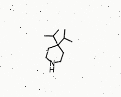 CC(C)C1(C(C)C)CCNCC1